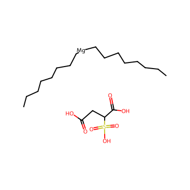 CCCCCCC[CH2][Mg][CH2]CCCCCCC.O=C(O)CC(C(=O)O)S(=O)(=O)O